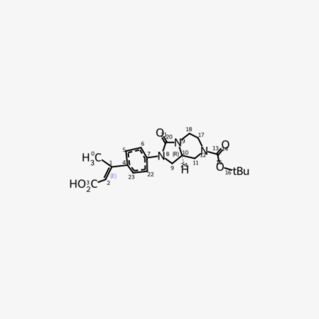 C/C(=C\C(=O)O)c1ccc(N2C[C@@H]3CN(C(=O)OC(C)(C)C)CCN3C2=O)cc1